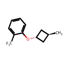 C[C@H]1C[C@H](Oc2ccccc2C(F)(F)F)C1